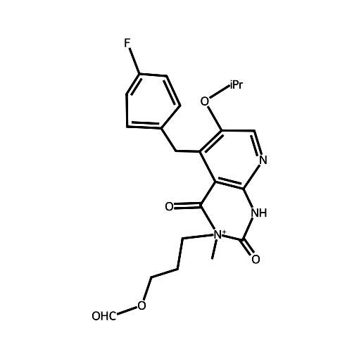 CC(C)Oc1cnc2c(c1Cc1ccc(F)cc1)C(=O)[N+](C)(CCCOC=O)C(=O)N2